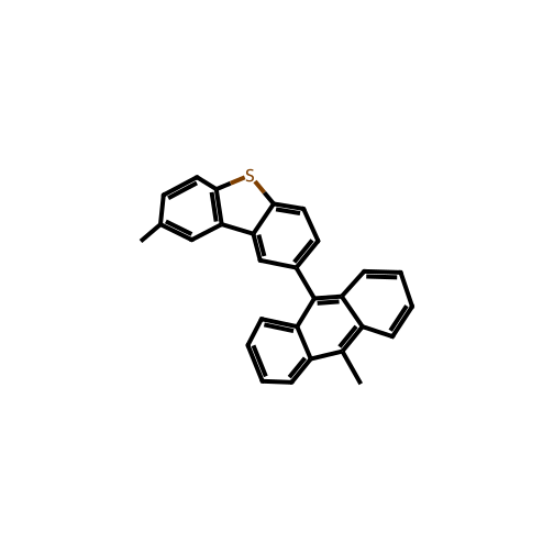 Cc1ccc2sc3ccc(-c4c5ccccc5c(C)c5ccccc45)cc3c2c1